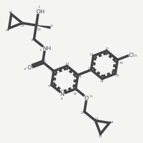 C[C@@](O)(CNC(=O)c1cnc(OCC2CC2)c(-c2ccc(Cl)cc2)c1)C1CC1